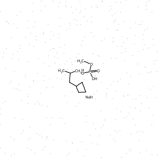 CC(C)CC1CCC1.COP(=O)(O)O.[NaH]